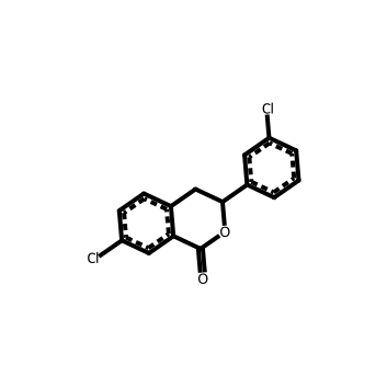 O=C1OC(c2cccc(Cl)c2)Cc2ccc(Cl)cc21